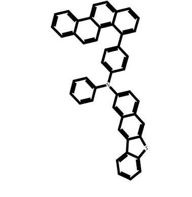 c1ccc(N(c2ccc(-c3cccc4ccc5c6ccccc6ccc5c34)cc2)c2ccc3cc4sc5ccccc5c4cc3c2)cc1